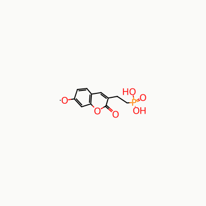 [O]c1ccc2cc(CCP(=O)(O)O)c(=O)oc2c1